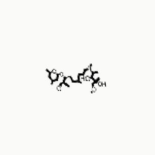 COCC(C)(O)C(O)C(C)N(C)CCCC(C)CC[C@H](O[C@H]1CC(C)CC(C)O1)C(C)C=O